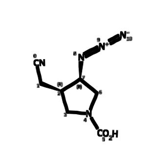 N#CC[C@@H]1CN(C(=O)O)C[C@@H]1N=[N+]=[N-]